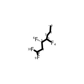 [CH2]CCC(F)[C@@H](F)CC(F)F